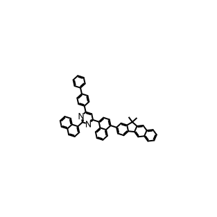 CC1(C)c2cc(-c3ccc(-c4cc(-c5ccc(-c6ccccc6)cc5)nc(-c5cccc6ccccc56)n4)c4ccccc34)ccc2-c2cc3ccccc3cc21